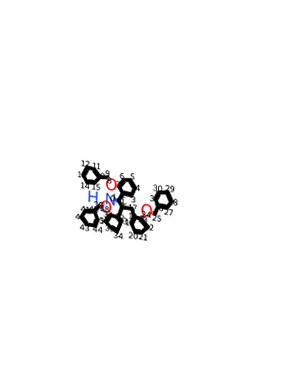 NC(c1ccccc1OCc1ccccc1)C(Cc1ccccc1OCc1ccccc1)c1ccccc1OCc1ccccc1